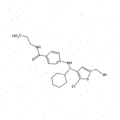 CCc1sc(CC(C)C)cc1C(Nc1ccc(C(=O)NCCC(=O)O)cc1)C1CCCCC1